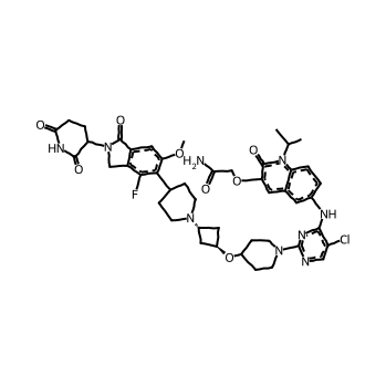 COc1cc2c(c(F)c1C1CCN([C@H]3C[C@H](OC4CCN(c5ncc(Cl)c(Nc6ccc7c(c6)cc(OCC(N)=O)c(=O)n7C(C)C)n5)CC4)C3)CC1)CN(C1CCC(=O)NC1=O)C2=O